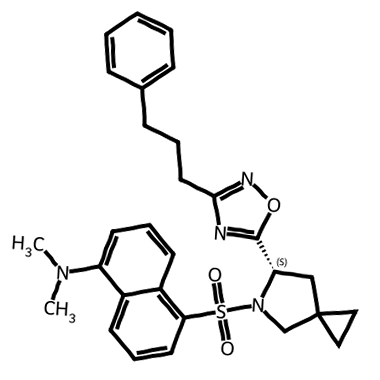 CN(C)c1cccc2c(S(=O)(=O)N3CC4(CC4)C[C@H]3c3nc(CCCc4ccccc4)no3)cccc12